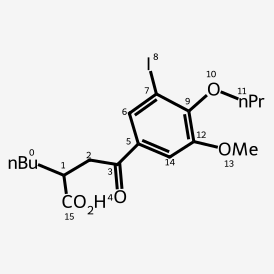 CCCCC(CC(=O)c1cc(I)c(OCCC)c(OC)c1)C(=O)O